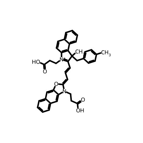 Cc1ccc(CC2(C)C(/C=C/C=C3\Oc4cc5ccccc5cc4N3CCC(=O)O)=[N+](CCC(=O)O)c3ccc4ccccc4c32)cc1